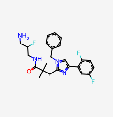 CC(C)([CH]c1nc(-c2cc(F)ccc2F)cn1Cc1ccccc1)C(=O)NC[C@H](F)CN